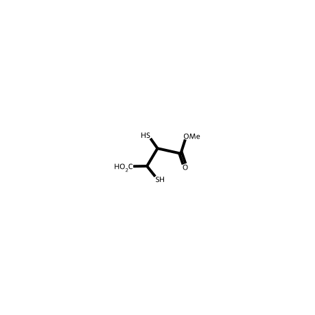 COC(=O)C(S)C(S)C(=O)O